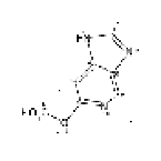 O=C(O)Oc1cc2[nH]cnc2cn1